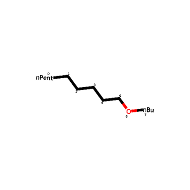 [CH2]CCCCCCCCCOCCCC